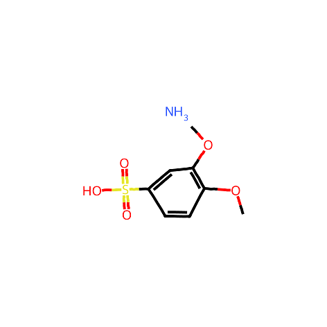 COc1ccc(S(=O)(=O)O)cc1OC.N